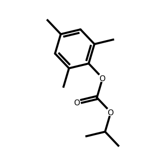 Cc1cc(C)c(OC(=O)OC(C)C)c(C)c1